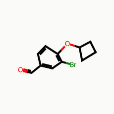 O=Cc1ccc(OC2CCC2)c(Br)c1